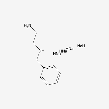 NCCNCc1ccccc1.[NaH].[NaH].[NaH].[NaH]